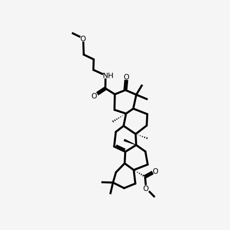 COCCCNC(=O)C1C[C@@]2(C)C(CC[C@]3(C)C2CC=C2C4CC(C)(C)CC[C@]4(C(=O)OC)CC[C@]23C)C(C)(C)C1=O